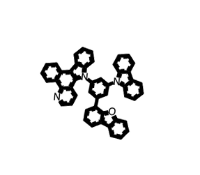 c1ccc2c(c1)oc1c(-c3cc(-n4c5ccccc5c5ccccc54)cc(-n4c5ccccc5c5c6ccccc6c6ncccc6c54)c3)cccc12